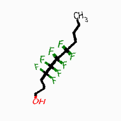 CCCCC(F)(F)C(F)(F)C(F)(F)C(F)(F)CCCO